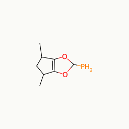 CC1CC(C)C2=C1OC(P)O2